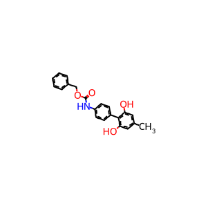 Cc1cc(O)c(-c2ccc(NC(=O)OCc3ccccc3)cc2)c(O)c1